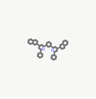 c1ccc(-c2cc(-c3ccc4ccccc4c3)cc(-c3cccc(-c4cc(-c5ccc6ccccc6c5)cc(-c5ccccc5)n4)c3)n2)cc1